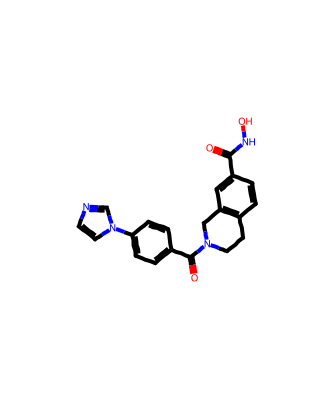 O=C(NO)c1ccc2c(c1)CN(C(=O)c1ccc(-n3ccnc3)cc1)CC2